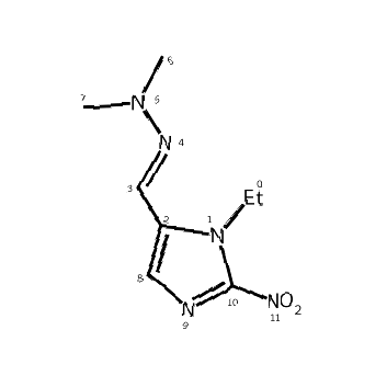 CCn1c(C=NN(C)C)cnc1[N+](=O)[O-]